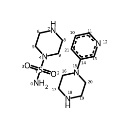 NS(=O)(=O)N1CCNCC1.c1cncc(N2CCNCC2)c1